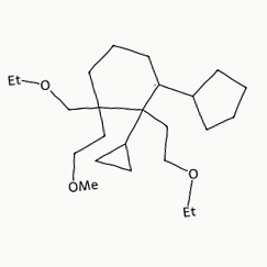 CCOCCC1(C2CC2)[C](C2CCCC2)CCCC1(CCOC)COCC